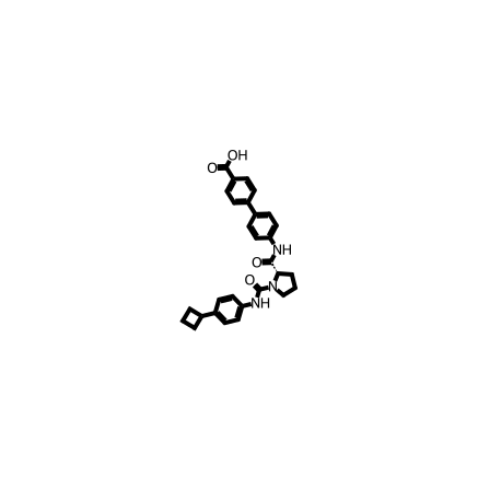 O=C(O)c1ccc(-c2ccc(NC(=O)[C@@H]3CCCN3C(=O)Nc3ccc(C4CCC4)cc3)cc2)cc1